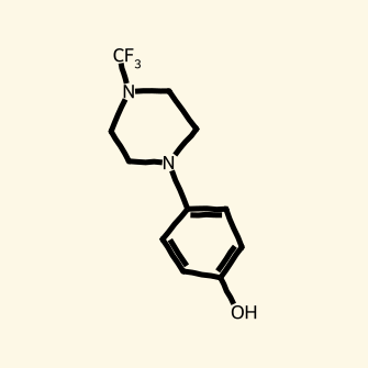 Oc1ccc(N2CCN(C(F)(F)F)CC2)cc1